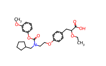 CCOC(Cc1ccc(OCCN(CC2CCCC2)C(=O)Oc2cccc(OC)c2)cc1)C(=O)O